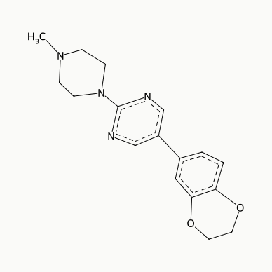 CN1CCN(c2ncc(-c3ccc4c(c3)OCCO4)cn2)CC1